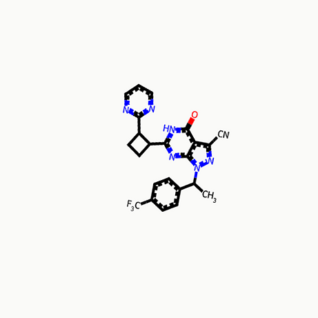 CC(c1ccc(C(F)(F)F)cc1)n1nc(C#N)c2c(=O)[nH]c(C3CCC3c3ncccn3)nc21